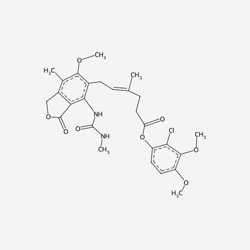 CNC(=O)Nc1c(C/C=C(\C)CCC(=O)Oc2ccc(OC)c(OC)c2Cl)c(OC)c(C)c2c1C(=O)OC2